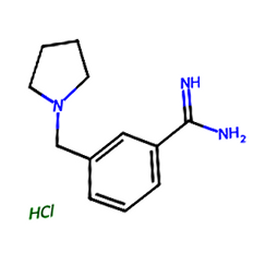 Cl.N=C(N)c1cccc(CN2CCCC2)c1